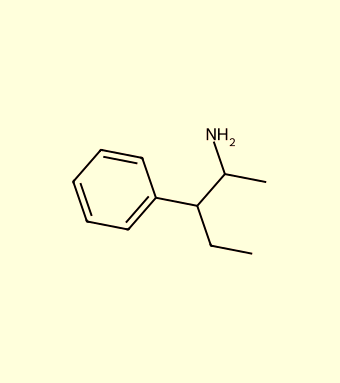 CCC(c1ccccc1)C(C)N